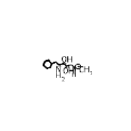 CONC[C@H](O)[C@H](O)[C@@H](N)CC1CCCCC1